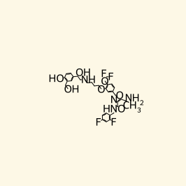 C[C@H](N)c1oc(-c2ccc(OC(F)F)c(OCCCCNCC(O)c3ccc(O)c(CO)c3)c2)nc1C(=O)NCc1ccc(F)cc1F